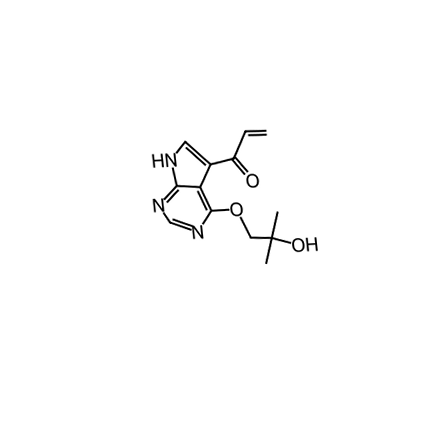 C=CC(=O)c1c[nH]c2ncnc(OCC(C)(C)O)c12